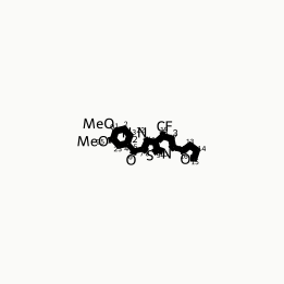 COc1ccc(C(=O)c2sc3nc(-c4ccco4)cc(C(F)(F)F)c3c2N)cc1OC